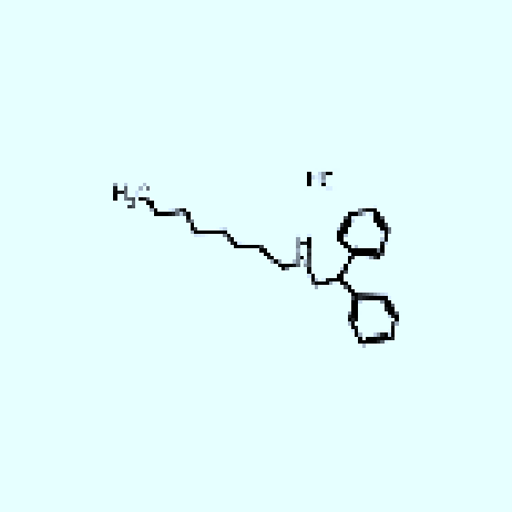 CCCCCCCCNCC(c1ccccc1)c1ccccc1.Cl